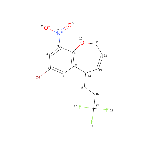 O=[N+]([O-])c1cc(Br)cc2c1OCC=CC2CCC(F)(F)F